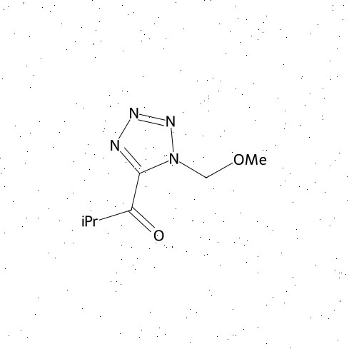 COCn1nnnc1C(=O)C(C)C